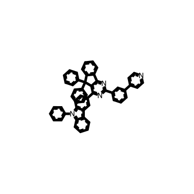 c1ccc(-n2c3ccccc3c3cc(-c4nc(-c5cccc(-c6ccncc6)c5)nc5c4C(c4ccccc4)(c4ccccc4)c4ccccc4-5)ccc32)cc1